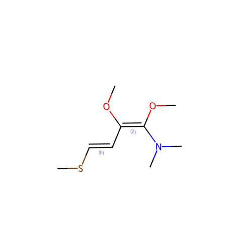 COC(/C=C/SC)=C(\OC)N(C)C